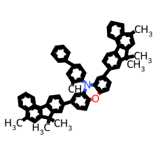 Cc1cc(-c2ccccc2)ccc1N1c2cc(-c3ccc4c(c3)C(C)(C)c3cc(C)c5ccccc5c3-4)ccc2Oc2ccc(-c3ccc4c(c3)C(C)(C)c3cc(C)c5ccccc5c3-4)cc21